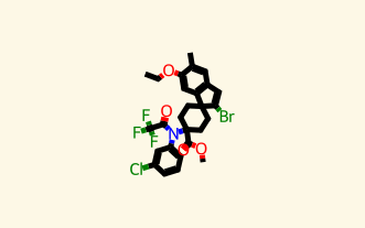 CCOc1cc2c(cc1C)C=C(Br)C21CCC(C(=O)OC)(N(C(=O)C(F)(F)F)c2cccc(Cl)c2)CC1